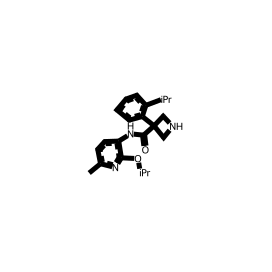 Cc1ccc(NC(=O)C2(c3ccccc3C(C)C)CNC2)c(OC(C)C)n1